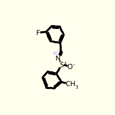 Cc1ccccc1[S+]([O-])/N=C/c1cccc(F)c1